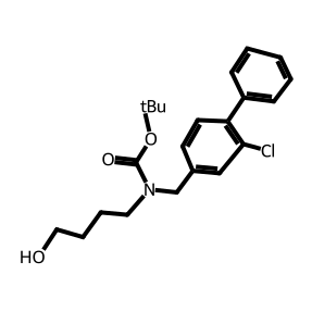 CC(C)(C)OC(=O)N(CCCCO)Cc1ccc(-c2ccccc2)c(Cl)c1